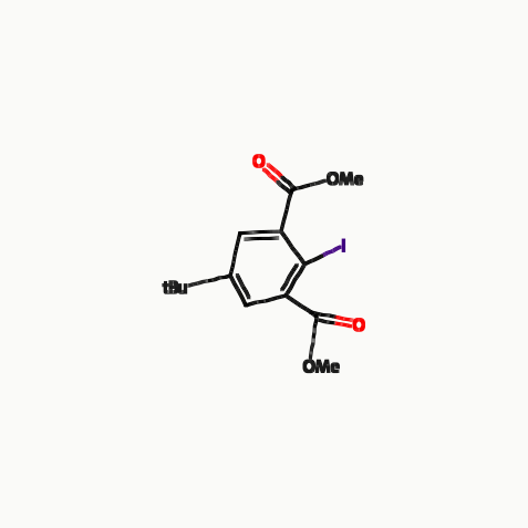 COC(=O)c1cc(C(C)(C)C)cc(C(=O)OC)c1I